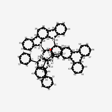 c1ccc(-c2nc(-c3ccccc3)nc(-c3cccc(-n4c5ccccc5c5ccc6c7ccccc7n(-c7nc(-c8ccccc8)nc(-c8ccc9c%10ccccc%10c%10ccccc%10c9c8)n7)c6c54)c3)n2)cc1